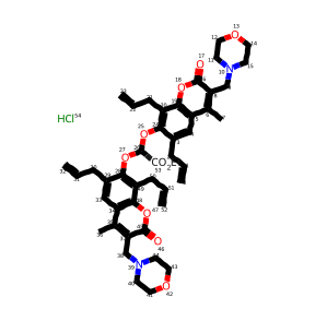 C=CCc1cc2c(C)c(CN3CCOCC3)c(=O)oc2c(CC=C)c1OC(Oc1c(CC=C)cc2c(C)c(CN3CCOCC3)c(=O)oc2c1CC=C)C(=O)OCC.Cl